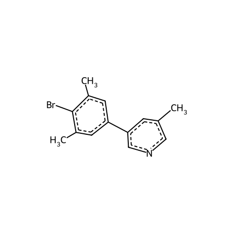 Cc1cncc(-c2cc(C)c(Br)c(C)c2)c1